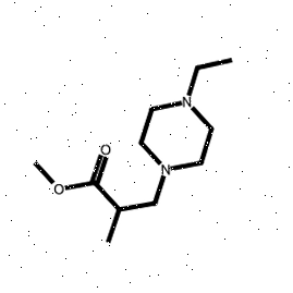 CCN1CCN(CC(C)C(=O)OC)CC1